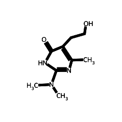 Cc1nc(N(C)C)[nH]c(=O)c1CCO